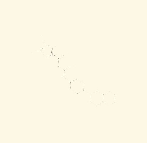 Cc1cc(C(=O)NC(=S)Nc2ccc(N3CCc4ccccc4C3)cc2)nn1C